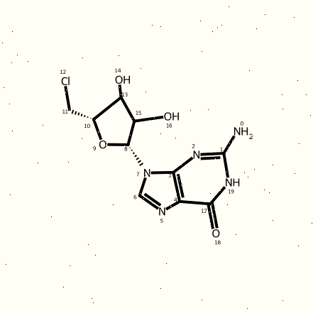 Nc1nc2c(ncn2[C@@H]2O[C@H](CCl)C(O)C2O)c(=O)[nH]1